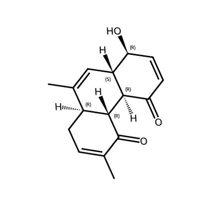 CC1=CC[C@H]2C(C)=C[C@H]3[C@@H](C(=O)C=C[C@@H]3O)[C@@H]2C1=O